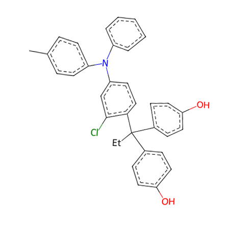 CCC(c1ccc(O)cc1)(c1ccc(O)cc1)c1ccc(N(c2ccccc2)c2ccc(C)cc2)cc1Cl